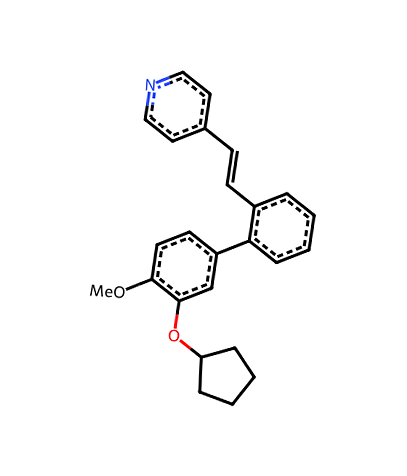 COc1ccc(-c2ccccc2C=Cc2ccncc2)cc1OC1CCCC1